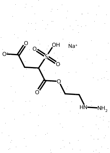 NNCCOC(=O)C(CC(=O)[O-])S(=O)(=O)O.[Na+]